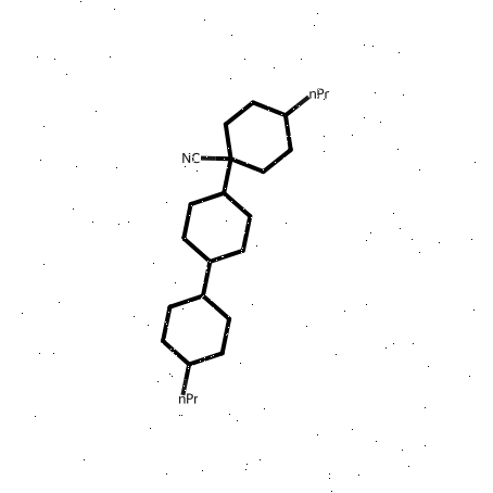 CCCC1CCC(C2CCC(C3(C#N)CCC(CCC)CC3)CC2)CC1